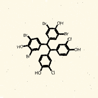 Oc1ccc(C(c2ccc(O)c(Cl)c2)C(c2cc(Br)c(O)c(Br)c2)c2cc(Br)c(O)c(Br)c2)cc1Cl